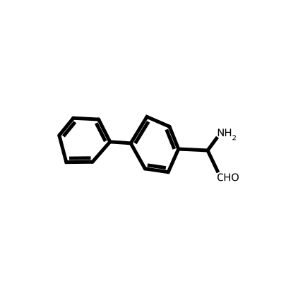 NC(C=O)c1ccc(-c2ccccc2)cc1